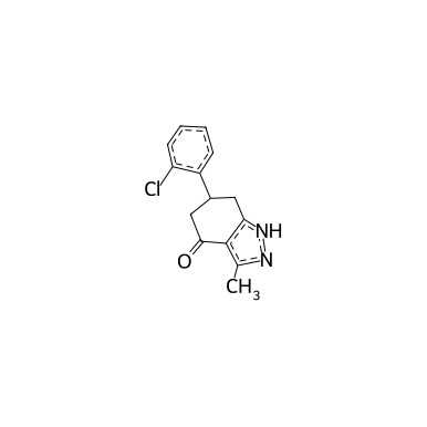 Cc1n[nH]c2c1C(=O)CC(c1ccccc1Cl)C2